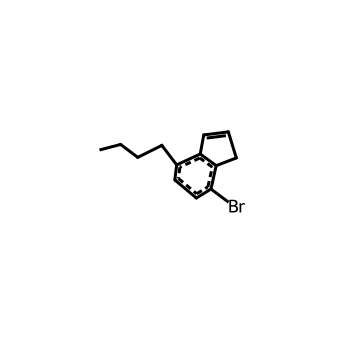 CCCCc1ccc(Br)c2c1C=CC2